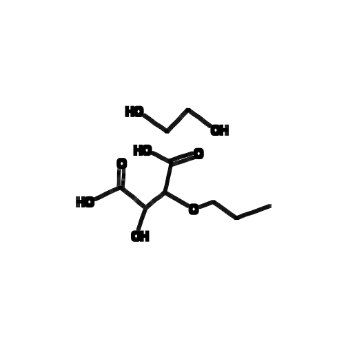 CCCOC(C(=O)O)C(O)C(=O)O.OCCO